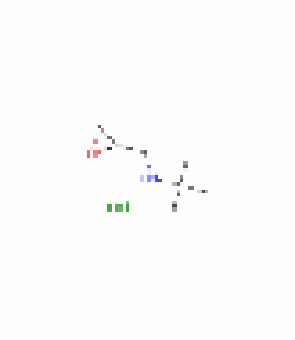 CC(C)(C)NCC1CO1.Cl